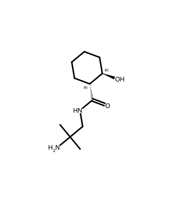 CC(C)(N)CNC(=O)[C@@H]1CCCC[C@H]1O